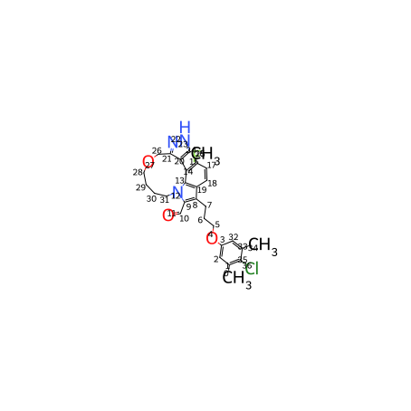 Cc1cc(OCCCc2c(C=O)n3c4c(c(F)ccc24)-c2c(n[nH]c2C)COCCCC3)cc(C)c1Cl